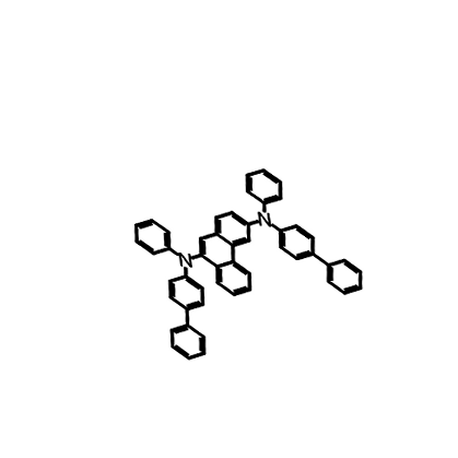 c1ccc(-c2ccc(N(c3ccccc3)c3ccc4cc(N(c5ccccc5)c5ccc(-c6ccccc6)cc5)c5ccccc5c4c3)cc2)cc1